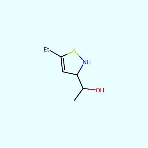 CCC1=CC(C(C)O)NS1